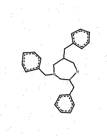 c1ccc(CC2C[N]C(Cc3ccccc3)CN(Cc3ccccc3)C2)cc1